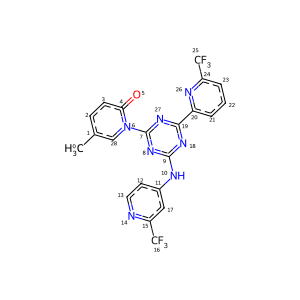 Cc1ccc(=O)n(-c2nc(Nc3ccnc(C(F)(F)F)c3)nc(-c3cccc(C(F)(F)F)n3)n2)c1